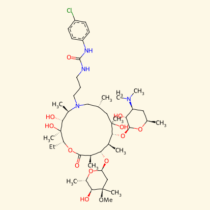 CC[C@H]1OC(=O)[C@H](C)[C@@H](O[C@H]2C[C@@](C)(OC)[C@@H](O)[C@H](C)O2)[C@H](C)[C@@H](O[C@@H]2O[C@H](C)C[C@H](N(C)C)[C@H]2O)[C@](C)(O)C[C@@H](C)CN(CCCNC(=O)Nc2ccc(Cl)cc2)[C@H](C)[C@@H](O)[C@]1(C)O